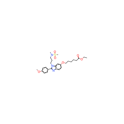 CCOC(=O)CCCCCOc1ccc2nc(-c3ccc(OC)cc3)n(CCCN(C)S(C)(=O)=O)c2c1